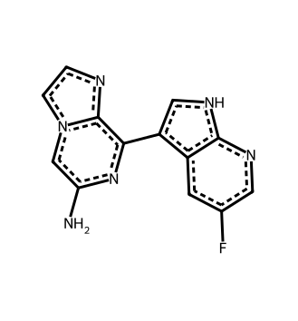 Nc1cn2ccnc2c(-c2c[nH]c3ncc(F)cc23)n1